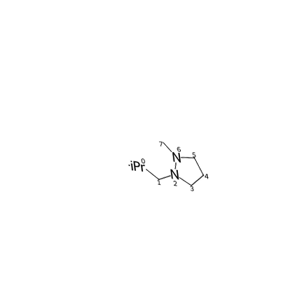 C[C](C)CN1CCCN1C